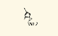 Cc1ccc(OCO)c(C)c1